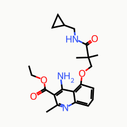 CCOC(=O)c1c(C)nc2cccc(OCC(C)(C)C(=O)NCC3CC3)c2c1N